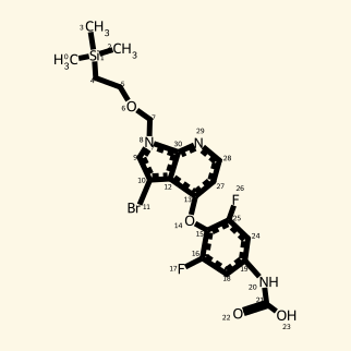 C[Si](C)(C)CCOCn1cc(Br)c2c(Oc3c(F)cc(NC(=O)O)cc3F)ccnc21